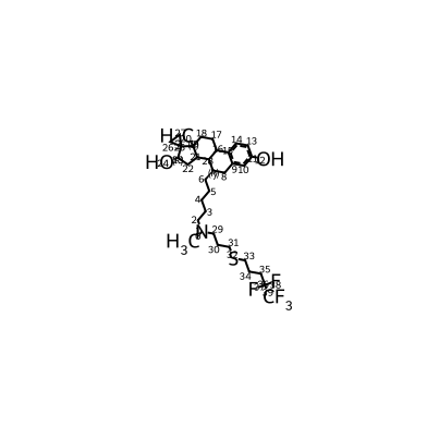 CN(CCCCC[C@@H]1Cc2cc(O)ccc2C2CC[C@@]3(C)C(C[C@@H](O)C34CC4)C21)CCCSCCCC(F)(F)C(F)(F)F